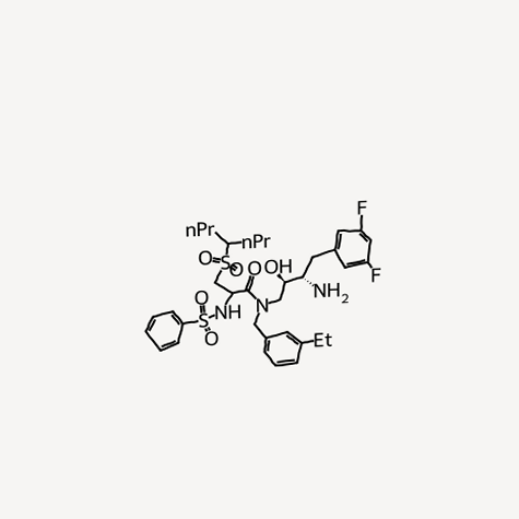 CCCC(CCC)S(=O)(=O)CC(NS(=O)(=O)c1ccccc1)C(=O)N(Cc1cccc(CC)c1)C[C@@H](O)[C@@H](N)Cc1cc(F)cc(F)c1